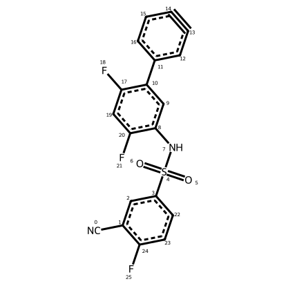 N#Cc1cc(S(=O)(=O)Nc2cc(-c3cc#ccc3)c(F)cc2F)ccc1F